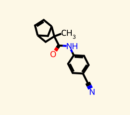 CC1(C(=O)Nc2ccc(C#N)cc2)CC2C=CC1C2